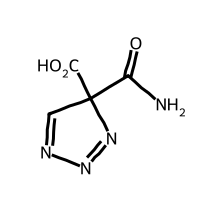 NC(=O)C1(C(=O)O)C=NN=N1